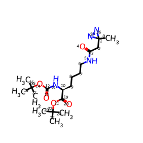 CC1(CC(=O)NCCCC[C@H](NC(=O)OC(C)(C)C)C(=O)OC(C)(C)C)N=N1